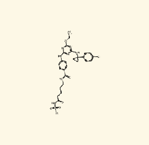 CCS(=O)(=O)NC(=O)CCCCNC(=O)c1ccc(Nc2nc(NC3(c4ccc(Cl)cc4)CC3)nc(OCC(F)(F)F)n2)cc1